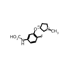 CN1CC[C@@H](Oc2cc(NC(=O)O)ccc2F)C1